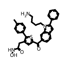 Cc1ccc(-c2sc(C(=O)c3ccc4cc(-c5ccccc5)n(CCCCN)c4c3)cc2CC(=O)NO)cc1